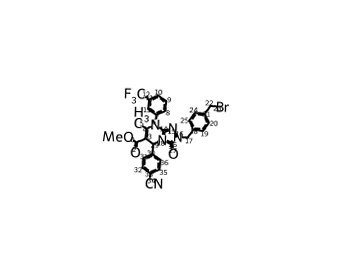 COC(=O)C1=C(C)N(c2cccc(C(F)(F)F)c2)c2nn(Cc3ccc(CBr)cc3)c(=O)n2C1c1ccc(C#N)cc1